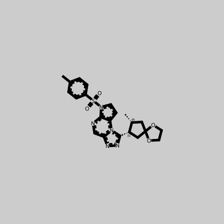 Cc1ccc(S(=O)(=O)n2ccc3c2ncc2nnc([C@H]4CC5(C[C@H]4C)OCCO5)n23)cc1